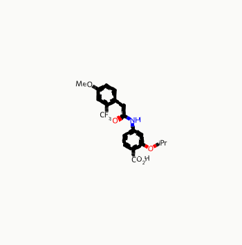 COc1ccc(CC(=O)Nc2ccc(C(=O)O)c(OC(C)C)c2)c(C(F)(F)F)c1